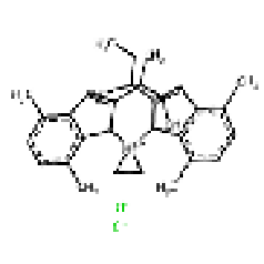 CCC(C)C1=Cc2c(C)ccc(C)c2[CH]1[Hf+2]1([CH]2C(C(C)CC)=Cc3c(C)ccc(C)c32)[CH2][CH2]1.[Cl-].[Cl-]